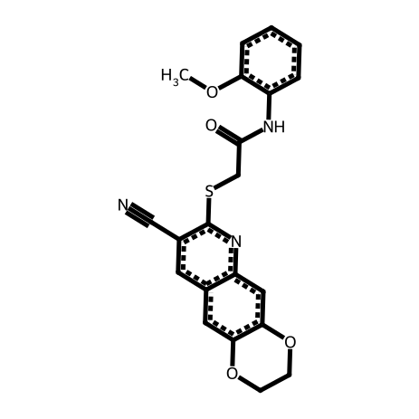 COc1ccccc1NC(=O)CSc1nc2cc3c(cc2cc1C#N)OCCO3